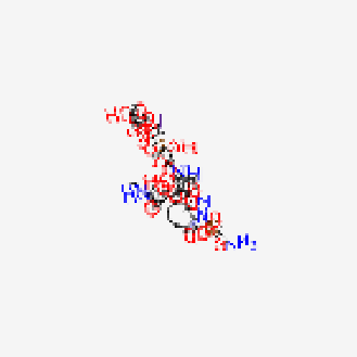 CCN[C@H]1CO[C@@H](O[C@H]2[C@H](O[C@H]3C#CC=CC#C[C@]4(O)CC(=O)C(NC(=O)OC)=C3/C4=C\CSSC(C)(C)CC(N)=O)O[C@H](C)[C@@H](NO[C@H]3C[C@H](O)[C@H](SC(=O)c4c(C)c(I)c(O[C@@H]5O[C@@H](C)[C@H](O)[C@@H](OC)[C@H]5O)c(OC)c4OC)[C@@H](C)O3)[C@@H]2O)C[C@@H]1OC